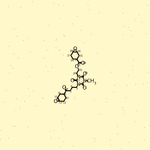 Cn1c(=O)n(CCCC(=O)C2CCC3OC3C2)c(=O)n(CCOC(=O)C2CCC3OC3C2)c1=O